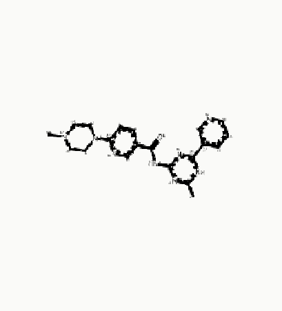 Cc1nc(NC(=O)c2ccc(N3CCN(C)CC3)nc2)nc(-c2cccnc2)n1